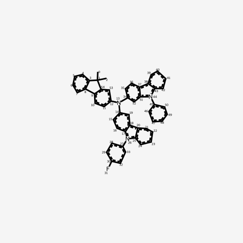 CC1(C)c2ccccc2-c2ccc(N(c3ccc4c(c3)c3ccccc3n4-c3ccc(F)cc3)c3ccc4c5ccccc5n(-c5ccccc5)c4c3)cc21